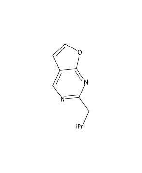 CC(C)Cc1ncc2ccoc2n1